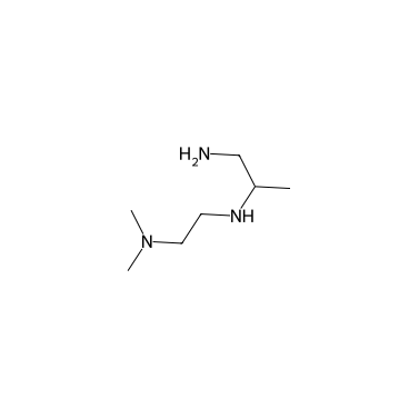 CC(CN)NCCN(C)C